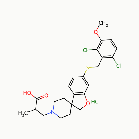 COc1ccc(Cl)c(CSc2ccc3c(c2)OCC32CCN(CC(C)C(=O)O)CC2)c1Cl.Cl